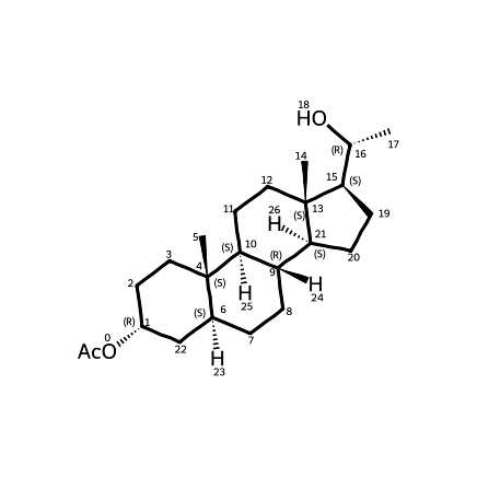 CC(=O)O[C@@H]1CC[C@@]2(C)[C@@H](CC[C@@H]3[C@@H]2CC[C@]2(C)[C@@H]([C@@H](C)O)CC[C@@H]32)C1